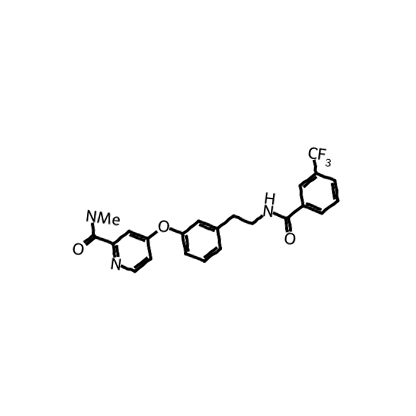 CNC(=O)c1cc(Oc2cccc(CCNC(=O)c3cccc(C(F)(F)F)c3)c2)ccn1